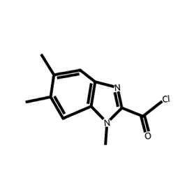 Cc1cc2nc(C(=O)Cl)n(C)c2cc1C